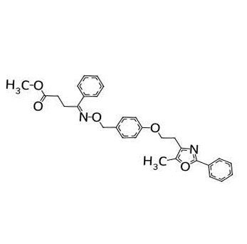 COC(=O)CCC(=NOCc1ccc(OCCc2nc(-c3ccccc3)oc2C)cc1)c1ccccc1